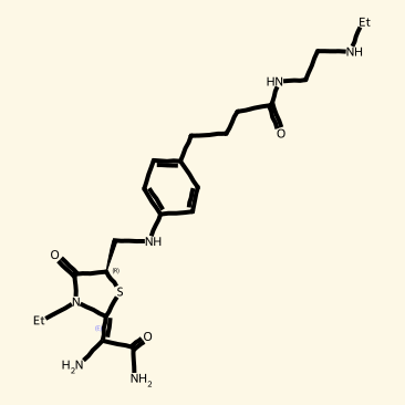 CCNCCNC(=O)CCCc1ccc(NC[C@H]2S/C(=C(/N)C(N)=O)N(CC)C2=O)cc1